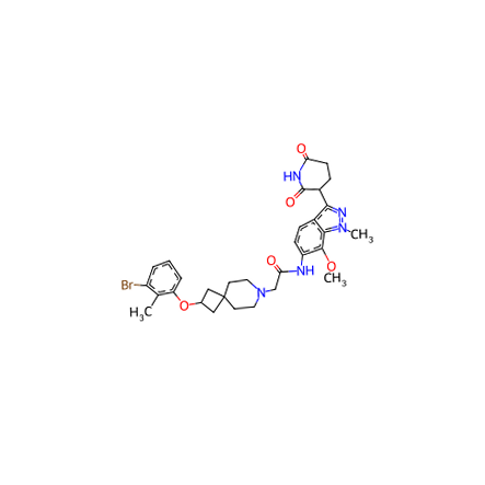 COc1c(NC(=O)CN2CCC3(CC2)CC(Oc2cccc(Br)c2C)C3)ccc2c(C3CCC(=O)NC3=O)nn(C)c12